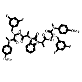 COc1ccc(N(C)C(=O)[C@H](Cc2cc(F)cc(F)c2)NC(=O)C(C)n2c(=O)n(C(C)C(=O)N[C@@H](Cc3cc(F)cc(F)c3)C(=O)N(C)c3ccc(OC)cc3)c3ccccc32)cc1